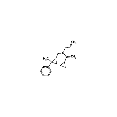 C=CCN(CC1CC1(C)c1ccccc1)C(=C)C1CC1